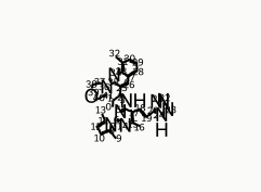 CCC(Nc1nc(-n2c(C)ccc2C)nc(C)c1/C=C/c1nnn[nH]1)c1cc2cccc(C)c2nc1N1CCOCC1